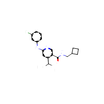 CC(C)c1cc(Nc2cccc(F)c2)ncc1C(=O)NCC1CCC1